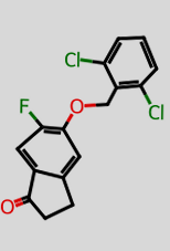 O=C1CCc2cc(OCc3c(Cl)cccc3Cl)c(F)cc21